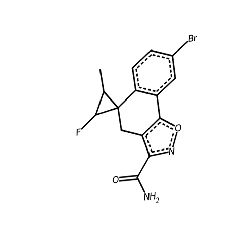 CC1C(F)C12Cc1c(C(N)=O)noc1-c1cc(Br)ccc12